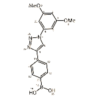 COc1cc(OC)cc(-n2cc(-c3ccc(B(O)O)cc3)nn2)c1